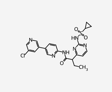 CCC(C(=O)Nc1ccc(-c2cncc(Cl)c2)cn1)c1ccnc(NS(=O)(=O)C2CC2)n1